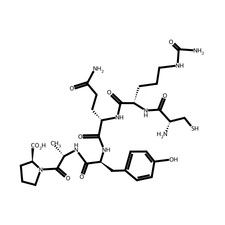 C[C@H](NC(=O)[C@H](Cc1ccc(O)cc1)NC(=O)[C@H](CCC(N)=O)NC(=O)[C@H](CCCNC(N)=O)NC(=O)[C@@H](N)CS)C(=O)N1CCC[C@H]1C(=O)O